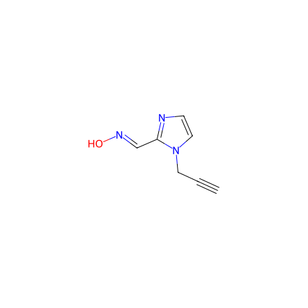 C#CCn1ccnc1C=NO